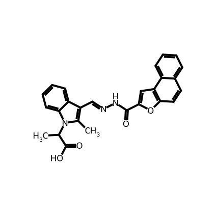 Cc1c(C=NNC(=O)c2cc3c(ccc4ccccc43)o2)c2ccccc2n1C(C)C(=O)O